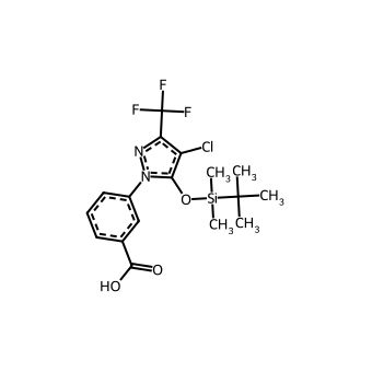 CC(C)(C)[Si](C)(C)Oc1c(Cl)c(C(F)(F)F)nn1-c1cccc(C(=O)O)c1